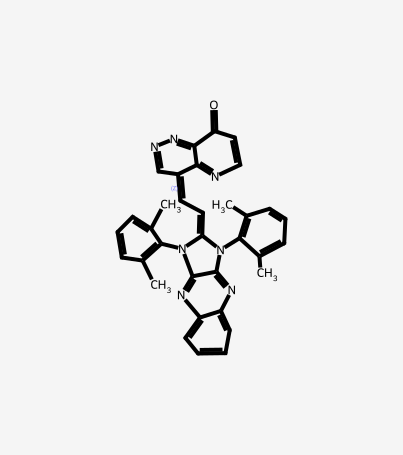 Cc1cccc(C)c1N1C(=C/C=c2/cnnc3c2=NC=CC3=O)N(c2c(C)cccc2C)c2nc3ccccc3nc21